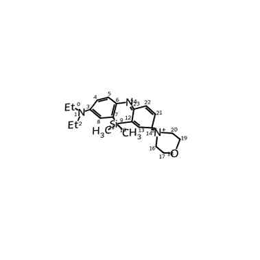 CCN(CC)c1ccc2c(c1)[Si](C)(C)C1=CC(=[N+]3CCOCC3)C=CC1=N2